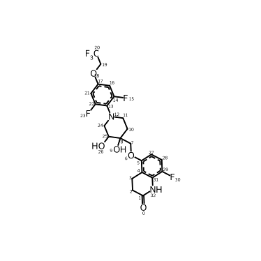 O=C1CCc2c(OCC3(O)CCN(c4c(F)cc(OCC(F)(F)F)cc4F)CC3O)ccc(F)c2N1